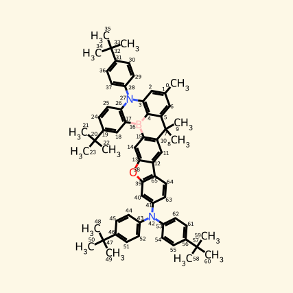 Cc1cc2c3c(c1)C(C)(C)c1cc4c(cc1B3c1cc(C(C)(C)C)ccc1N2c1ccc(C(C)(C)C)cc1)oc1cc(N(c2ccc(C(C)(C)C)cc2)c2ccc(C(C)(C)C)cc2)ccc14